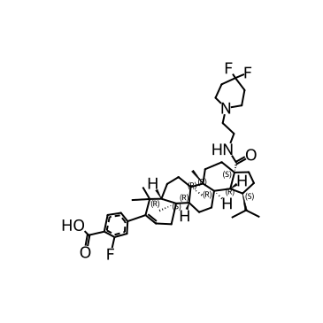 CC(C)[C@@H]1CC[C@]2(C(=O)NCCN3CCC(F)(F)CC3)CC[C@]3(C)[C@H](CC[C@@H]4[C@@]5(C)CC=C(c6ccc(C(=O)O)c(F)c6)C(C)(C)[C@@H]5CC[C@]43C)[C@@H]12